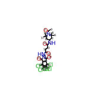 CC(=O)N1C(C)(C)CC(NC(=O)CCC(=O)NN2C(=O)C3C(C2=O)C2(Cl)C(Cl)=C(Cl)C3(Cl)C2(Cl)Cl)CC1(C)C